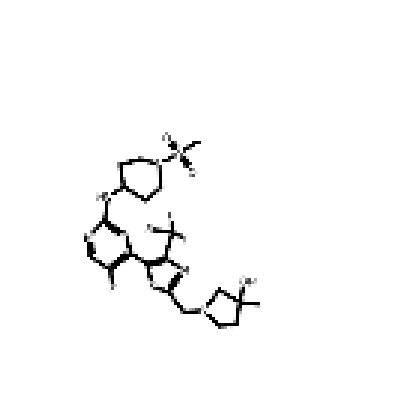 CC1(O)CCN(Cc2nc(C(F)(F)F)c(-c3nc(NC4CCN(S(C)(=O)=O)CC4)ncc3F)s2)C1